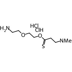 CNCCC(=S)OCCOCCN.Cl.Cl